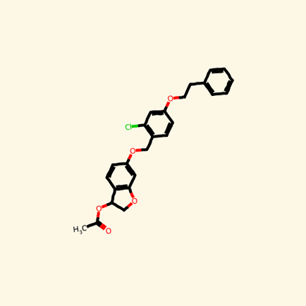 CC(=O)OC1COc2cc(OCc3ccc(OCCc4ccccc4)cc3Cl)ccc21